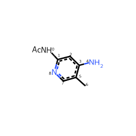 CC(=O)Nc1cc(N)c(C)cn1